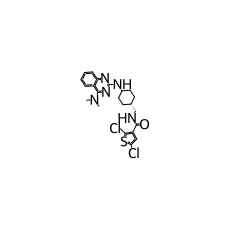 CN(C)c1nc(N[C@H]2CC[C@@H](CNC(=O)c3cc(Cl)sc3Cl)CC2)nc2ccccc12